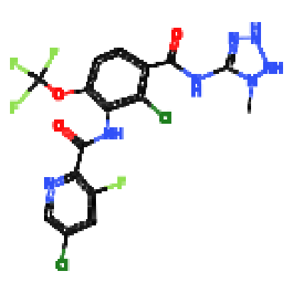 CN1NNN=C1NC(=O)c1ccc(OC(F)(F)F)c(NC(=O)c2ncc(Cl)cc2F)c1Cl